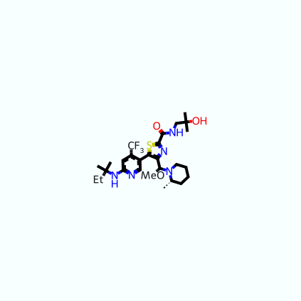 CCC(C)(C)Nc1cc(C(F)(F)F)c(-c2sc(C(=O)NCC(C)(C)O)nc2C(OC)N2CCCC[C@@H]2C)cn1